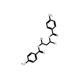 CCC(CC(CC)OC(=O)c1ccc(C)cc1)OC(=O)c1ccc(C)cc1